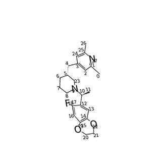 Cc1cc(C[C@H]2CCCN([C@@H](C)c3cc4c(cc3F)OCCO4)C2)cc(C)n1